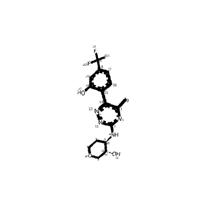 Cc1nc(N[C@@H]2CCOC[C@H]2O)nnc1-c1ccc(C(F)(F)F)cc1O